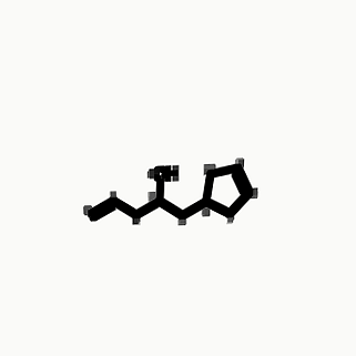 C=CCC(O)CC1CC=CC1